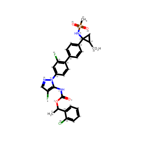 CC(OC(=O)Nc1c(F)cnn1-c1ccc(-c2ccc(C3(NS(C)(=O)=O)CC3C(=O)O)cc2)c(F)c1)c1ccccc1Cl